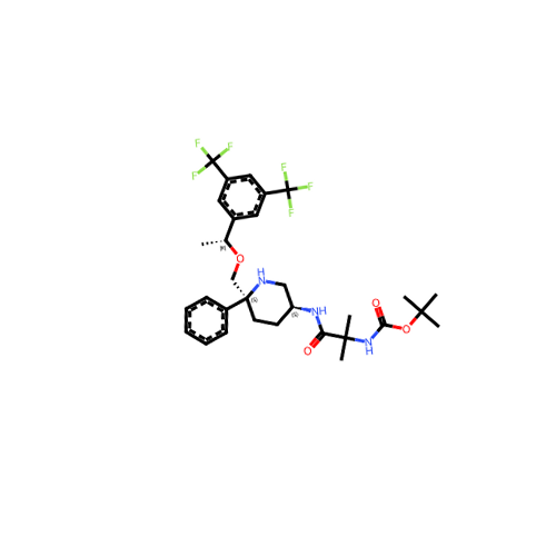 C[C@@H](OC[C@@]1(c2ccccc2)CC[C@H](NC(=O)C(C)(C)NC(=O)OC(C)(C)C)CN1)c1cc(C(F)(F)F)cc(C(F)(F)F)c1